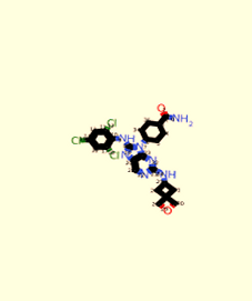 NC(=O)C1CCC(n2c(Nc3c(Cl)cc(Cl)cc3Cl)nc3cnc(NC4CC5(COC5)C4)nc32)CC1